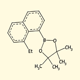 CCc1cccc2cccc(B3OC(C)(C)C(C)(C)O3)c12